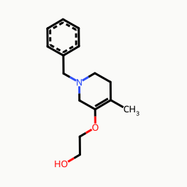 CC1=C(OCCO)CN(Cc2ccccc2)CC1